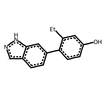 CCc1cc(O)ccc1-c1ccc2[c]n[nH]c2c1